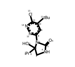 CC(C)C1(O)CNC(=O)N1c1cc(C(C)(C)C)c(Cl)nn1